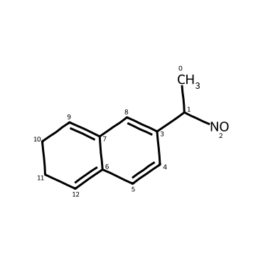 CC(N=O)c1ccc2c(c1)=CCCC=2